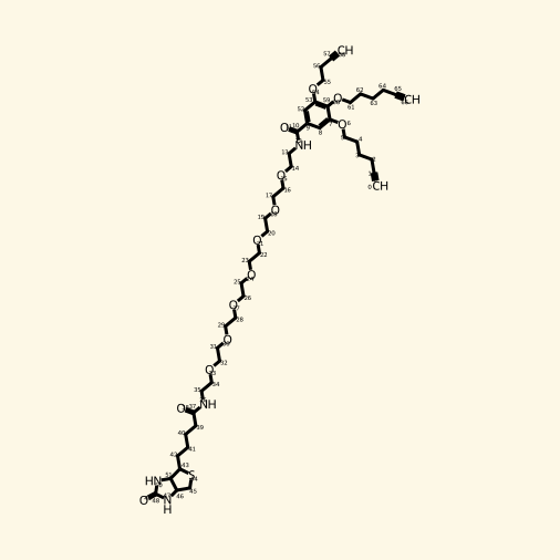 C#CCCCCOc1cc(C(=O)NCCOCCOCCOCCOCCOCCOCCOCCNC(=O)CCCCC2SCC3NC(=O)NC32)cc(OCCC#C)c1OCCCCC#C